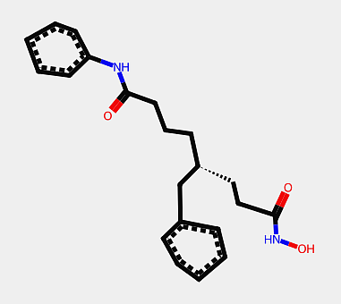 O=C(CC[C@@H](CCCC(=O)Nc1ccccc1)Cc1ccccc1)NO